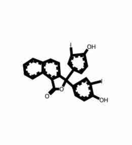 O=C1OC(c2ccc(O)c(I)c2)(c2ccc(O)c(I)c2)c2ccc3ccccc3c21